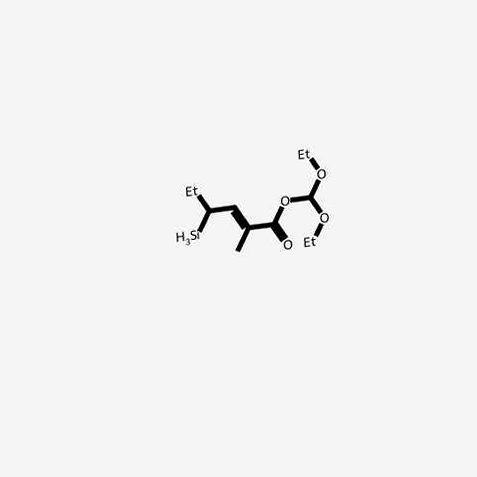 CCOC(OCC)OC(=O)C(C)=CC([SiH3])CC